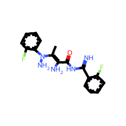 C/C(=C(/N)C(=O)NC(=N)c1ccccc1F)N(N)c1ccccc1F